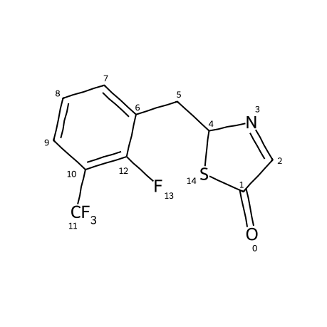 O=C1C=NC(Cc2cccc(C(F)(F)F)c2F)S1